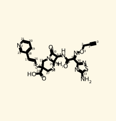 C#CCON=C(C(=O)NC1C(=O)N2CC(SC=Cc3cccnc3)(C(=O)O)CS[C@H]12)c1nsc(N)n1